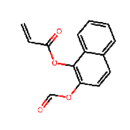 C=CC(=O)Oc1c(OC=O)ccc2ccccc12